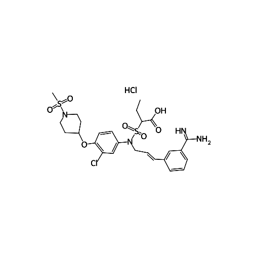 CCC(C(=O)O)S(=O)(=O)N(C/C=C/c1cccc(C(=N)N)c1)c1ccc(OC2CCN(S(C)(=O)=O)CC2)c(Cl)c1.Cl